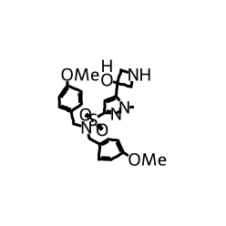 COc1ccc(CN(Cc2ccc(OC)cc2)S(=O)(=O)c2cc(C3(O)CNC3)n(C)n2)cc1